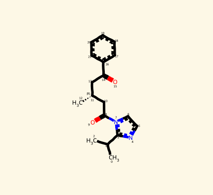 CC(C)c1nccn1C(=O)C[C@H](C)CC(=O)c1ccccc1